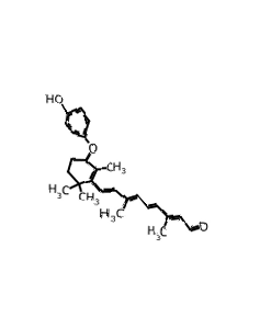 CC1=C(/C=C/C(C)=C/C=C/C(C)=C/C=O)C(C)(C)CCC1Oc1ccc(O)cc1